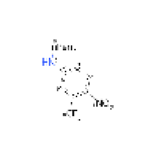 CCCCCNc1ccc([N+](=O)[O-])c(C(F)(F)F)c1